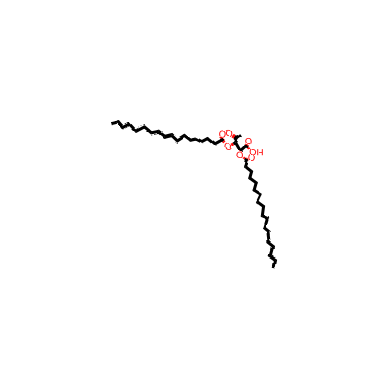 CCCCCCCCCCCCCCCCCC(=O)OC(C(C)=O)C(OC(=O)CCCCCCCCCCCCCCCCC)C(=O)O